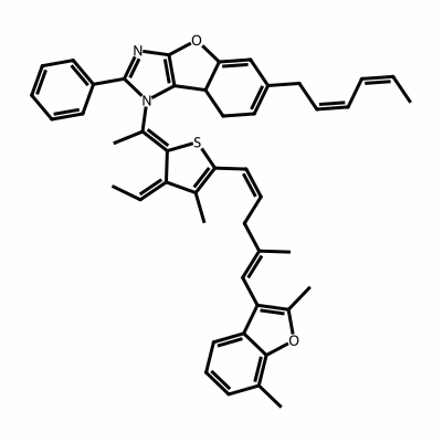 C/C=C\C=C/CC1=CCC2C(=C1)Oc1nc(-c3ccccc3)n(/C(C)=c3\sc(/C=C\C/C(C)=C/c4c(C)oc5c(C)cccc45)c(C)\c3=C\C)c12